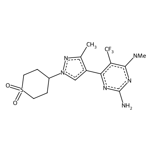 CNc1nc(N)nc(-c2cn(C3CCS(=O)(=O)CC3)nc2C)c1C(F)(F)F